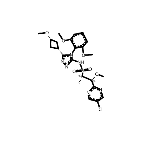 COc1cccc(OC)c1-n1c(NS(=O)(=O)[C@@H](C)[C@H](OC)c2ncc(Cl)cn2)nnc1[C@H]1C[C@@H](OC)C1